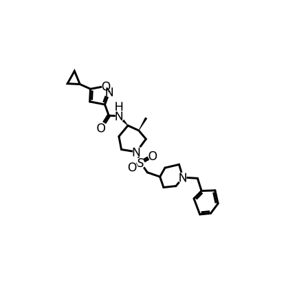 C[C@H]1CN(S(=O)(=O)CC2CCN(Cc3ccccc3)CC2)CC[C@H]1NC(=O)c1cc(C2CC2)on1